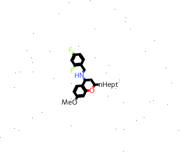 CCCCCCCC1CC(NCc2ccc(F)cc2F)c2ccc(OC)cc2O1